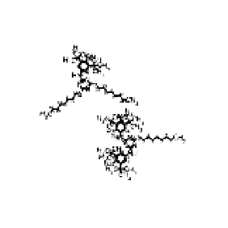 CCCCCCCCSc1nc(Nc2cc(C(C)(C)C)c(O)c(C(C)(C)C)c2)nc(Nc2cc(C(C)(C)C)c(O)c(C(C)(C)C)c2)n1.CCCCCCCCSc1nc(Nc2cc(C(C)(C)C)c(O)c(C(C)(C)C)c2)nc(SCCCCCCCC)n1